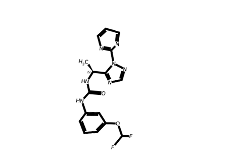 C[C@H](NC(=O)Nc1cccc(OC(F)F)c1)c1ncnn1-c1ncccn1